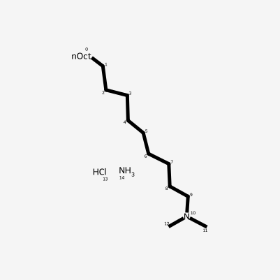 CCCCCCCCCCCCCCCCCN(C)C.Cl.N